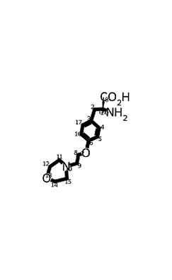 N[C@@H](Cc1ccc(OCCN2CCOCC2)cc1)C(=O)O